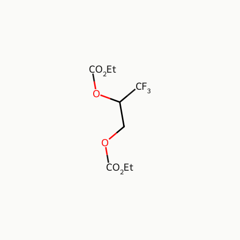 CCOC(=O)OCC(OC(=O)OCC)C(F)(F)F